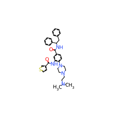 CN(C)CCN1CCN(c2ccc(C(=O)NC(Cc3ccccc3)c3ccccc3)cc2NC(=O)c2ccsc2)CC1